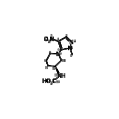 Cn1ncc([N+](=O)[O-])c1N1CCC[C@H](NC(=O)O)C1